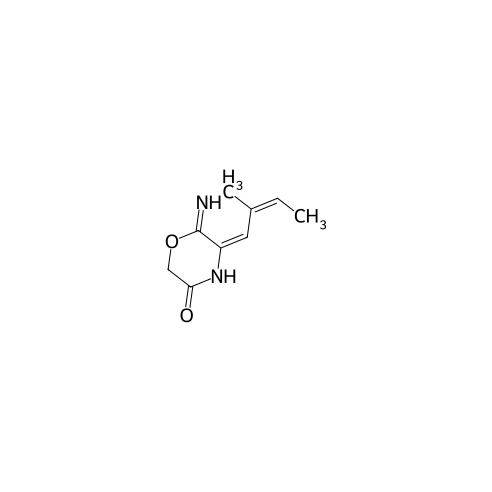 C/C=C(C)\C=C1\NC(=O)COC1=N